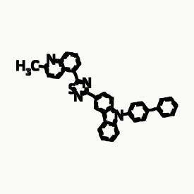 Cc1ccc2c(-c3nc(-c4ccc5c(c4)c4ccccc4n5-c4ccc(-c5ccccc5)cc4)ns3)cccc2n1